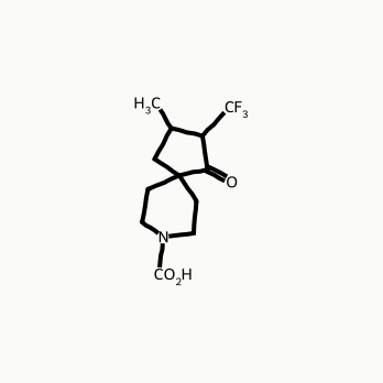 CC1CC2(CCN(C(=O)O)CC2)C(=O)C1C(F)(F)F